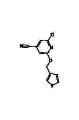 N#Cc1cc(Cl)nc(OCc2ccsc2)c1